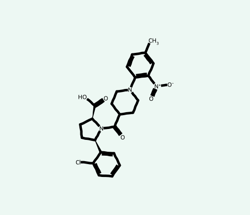 Cc1ccc(N2CCC(C(=O)N3[C@@H](c4ccccc4Cl)CC[C@H]3C(=O)O)CC2)c([N+](=O)[O-])c1